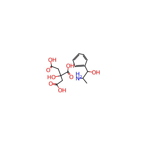 CC(N)C(O)c1ccccc1.O=C(O)CC(O)(CC(=O)O)C(=O)O